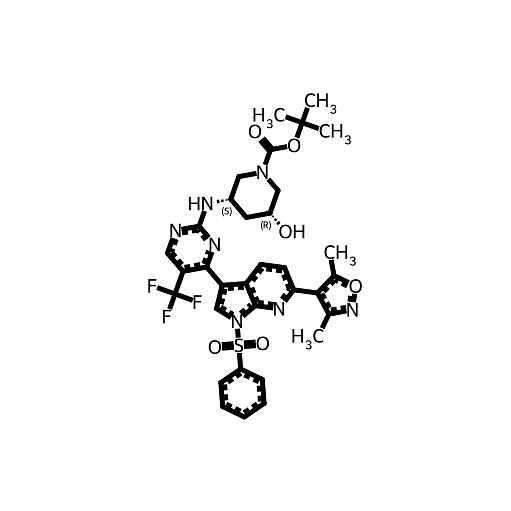 Cc1noc(C)c1-c1ccc2c(-c3nc(N[C@H]4C[C@@H](O)CN(C(=O)OC(C)(C)C)C4)ncc3C(F)(F)F)cn(S(=O)(=O)c3ccccc3)c2n1